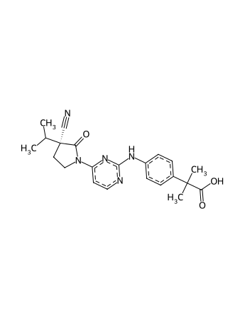 CC(C)[C@]1(C#N)CCN(c2ccnc(Nc3ccc(C(C)(C)C(=O)O)cc3)n2)C1=O